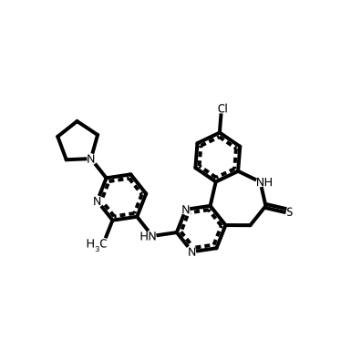 Cc1nc(N2CCCC2)ccc1Nc1ncc2c(n1)-c1ccc(Cl)cc1NC(=S)C2